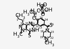 CCCc1nn(C)c2c(=S)[nH]c(-c3cc(C(=S)N4CCN(C)CC4)ccc3OCC)nc12.CS(=O)(=O)O.O